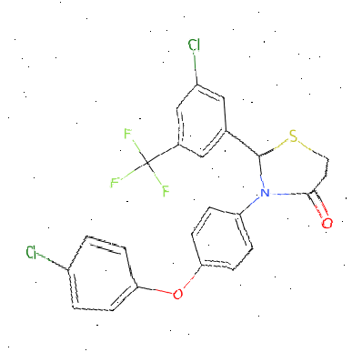 O=C1CSC(c2cc(Cl)cc(C(F)(F)F)c2)N1c1ccc(Oc2ccc(Cl)cc2)cc1